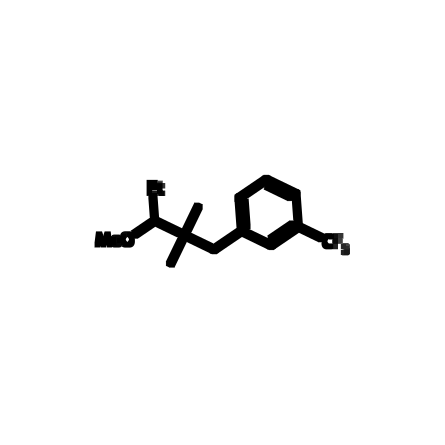 [CH2]CC(OC)C(C)(C)Cc1cccc(C(F)(F)F)c1